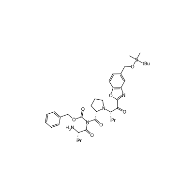 CC(C)[C@H](N)C(=O)N(C(=O)OCc1ccccc1)C(=O)[C@@H]1CCCN1[C@H](C(=O)c1nc2cc(CO[Si](C)(C)C(C)(C)C)ccc2o1)C(C)C